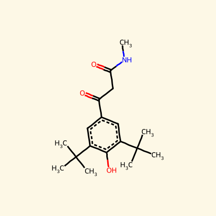 CNC(=O)CC(=O)c1cc(C(C)(C)C)c(O)c(C(C)(C)C)c1